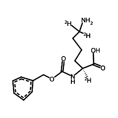 [2H]C([2H])(N)CCC[C@]([2H])(NC(=O)OCc1ccccc1)C(=O)O